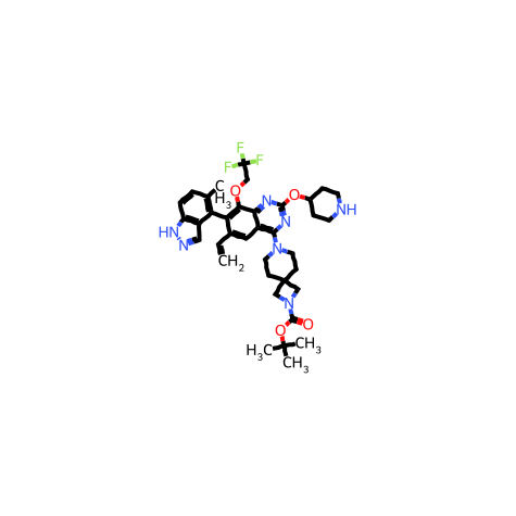 C=Cc1cc2c(N3CCC4(CC3)CN(C(=O)OC(C)(C)C)C4)nc(OC3CCNCC3)nc2c(OCC(F)(F)F)c1-c1c(C)ccc2[nH]ncc12